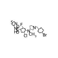 CN(c1cc(F)c(S(=O)(=O)Nc2cscn2)cc1Cl)C1CCN(Cc2ccc(Br)cc2)C1